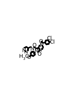 COc1ccc(-n2c(C(=O)NCc3ccnnc3)c3n(c2=O)CCN(C(=O)c2ccc(Cl)c(Cl)c2)C3)cc1